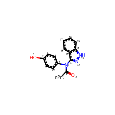 CCCC(=O)N(c1ccc(O)cc1)c1n[nH]c2ccccc12